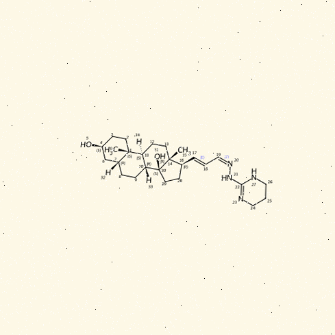 C[C@]12CC[C@H](O)C[C@H]1CC[C@@H]1[C@@H]2CC[C@]2(C)[C@@H](/C=C/C=N\NC3=NCCCN3)CC[C@]12O